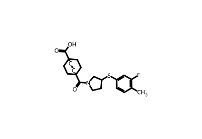 Cc1ccc(SC2CCN(C(=O)C34CCC(C(=O)O)(CC3)CC4)C2)cc1F